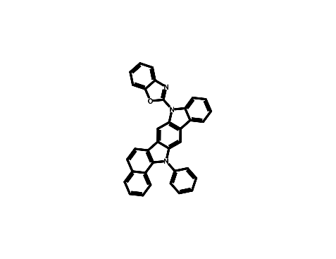 c1ccc(-n2c3cc4c5ccccc5n(-c5nc6ccccc6o5)c4cc3c3ccc4ccccc4c32)cc1